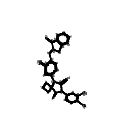 N#Cc1ccc(N2C(=O)C3(CCC3)N(c3ccc(CN4Cc5ncccc5C4=O)c(F)c3)C2=S)cc1C(F)(F)F